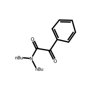 CCCCN(CCCC)C(=O)C(=O)c1ccccc1